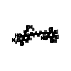 CCCc1c(OCCCCCCc2c(O)c(O)c(Cl)c(Cl)c2Cl)ccc(C(C)=O)c1O